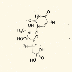 [2H]c1cn([C@@H]2O[C@H](C([2H])([2H])CP(=O)(O)O)[C@@H](O)[C@@]2(C)O)c(=O)[nH]c1=O